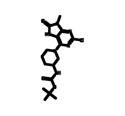 Cn1c(=O)[nH]c2c(N3CCCC(NC(=O)OC(C)(C)C)C3)nc(Cl)nc21